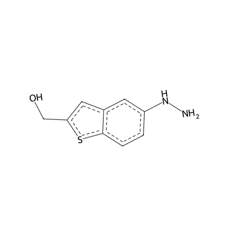 NNc1ccc2sc(CO)cc2c1